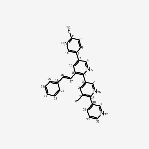 Cc1cc(-c2ncc(-c3ccc(F)nc3)cc2C=Cc2ccccc2)cnc1-c1cccnc1